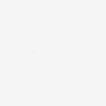 CCCCC1OC(=O)C2=C1CCCC2